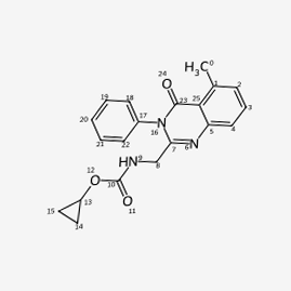 Cc1cccc2nc(CNC(=O)OC3CC3)n(-c3ccccc3)c(=O)c12